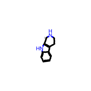 [C]1NCCc2c1[nH]c1ccccc21